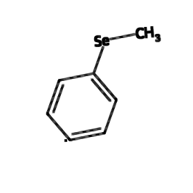 C[Se]c1cc[c]cc1